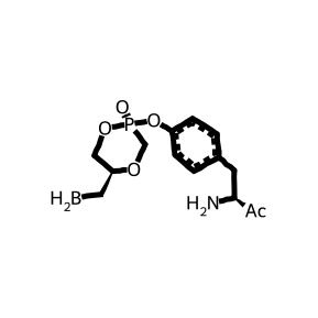 BC[C@H]1COP(=O)(Oc2ccc(C[C@H](N)C(C)=O)cc2)CO1